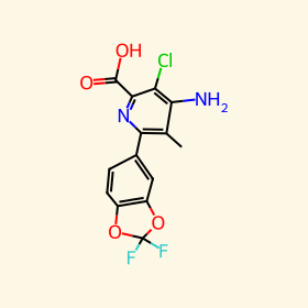 Cc1c(-c2ccc3c(c2)OC(F)(F)O3)nc(C(=O)O)c(Cl)c1N